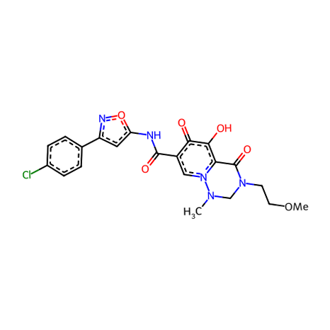 COCCN1CN(C)n2cc(C(=O)Nc3cc(-c4ccc(Cl)cc4)no3)c(=O)c(O)c2C1=O